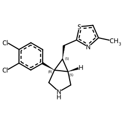 Cc1csc(C[C@H]2[C@@H]3CNC[C@@]32c2ccc(Cl)c(Cl)c2)n1